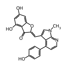 Cn1cc(C=C2Oc3cc(O)cc(O)c3C2=O)c2c(-c3ccc(O)cc3)ccnc21